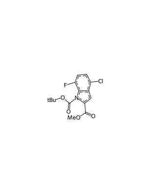 COC(=O)c1cc2c(Cl)ccc(F)c2n1C(=O)OC(C)(C)C